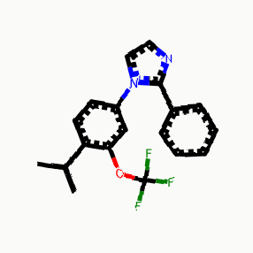 CC(C)c1ccc(-n2ccnc2-c2ccccc2)cc1OC(F)(F)F